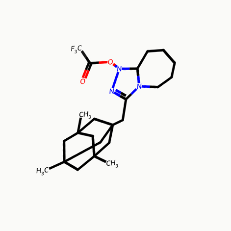 CC12CC3(C)CC(C)(C1)CC(CC1=NN(OC(=O)C(F)(F)F)C4CCCCCN14)(C2)C3